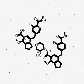 CNC(=O)c1ccc(Cc2cc(C(=O)N[C@H]3CCOC[C@@H]3O)c(OC)c3c2CCC3)cc1F.CNC(=O)c1ccc(Cc2cc(C(=O)O)c(OC)c3c2CCC3)cc1F